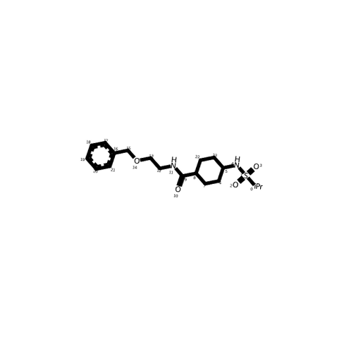 CC(C)S(=O)(=O)NC1CCC(C(=O)NCCOCc2ccccc2)CC1